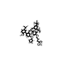 COc1ccc(C(C)C)cc1-c1ccc(OC2CCCC2)cc1CN(Cc1cc(C(F)(F)F)cc(C(F)(F)F)c1)c1ncc(OCCCC(=O)O)cn1